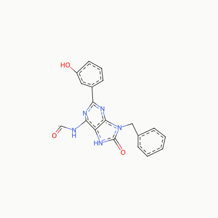 O=[C]Nc1nc(-c2cccc(O)c2)nc2c1[nH]c(=O)n2Cc1ccccc1